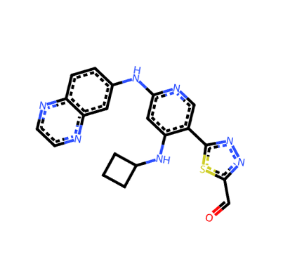 O=Cc1nnc(-c2cnc(Nc3ccc4nccnc4c3)cc2NC2CCC2)s1